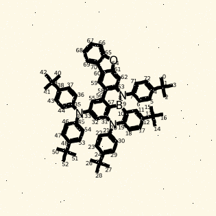 CC(C)(C)c1ccc(N2B3c4cc(C(C)(C)C)ccc4N(c4ccc(C(C)(C)C)cc4)c4cc(N(c5ccc(C(C)(C)C)cc5)c5ccc(C(C)(C)C)cc5)cc(c43)-c3cc4c(cc32)oc2ccccc24)cc1